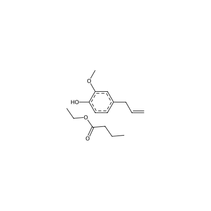 C=CCc1ccc(O)c(OC)c1.CCCC(=O)OCC